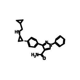 NC(=O)c1cn(-c2ccccc2)nc1-c1ccc([C@@H]2C[C@H]2NCC2CC2)cc1